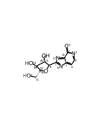 O=C1N=CC=C2N=C(C3O[C@H](CO)[C@@H](O)[C@H]3O)N=C12